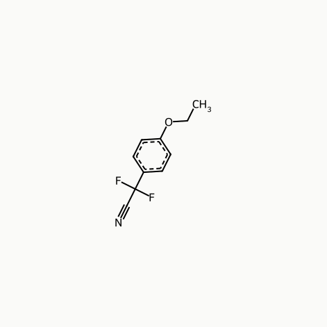 CCOc1ccc(C(F)(F)C#N)cc1